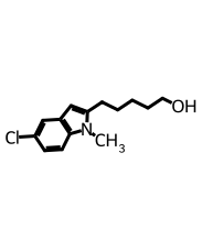 Cn1c(CCCCCO)cc2cc(Cl)ccc21